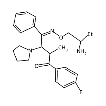 CCC(N)CON=C(c1ccccc1)C(C(C)C(=O)c1ccc(F)cc1)N1CCCC1